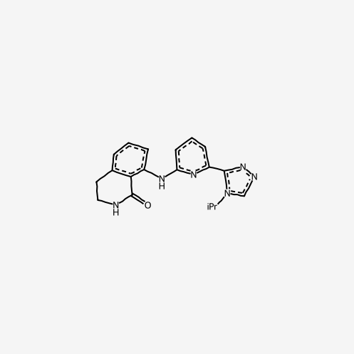 CC(C)n1cnnc1-c1cccc(Nc2cccc3c2C(=O)NCC3)n1